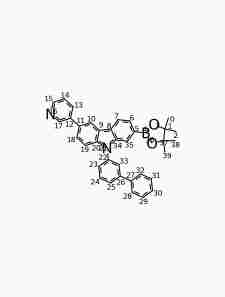 CC1(C)OB(c2ccc3c4cc(-c5cccnc5)ccc4n(-c4cccc(-c5ccccc5)c4)c3c2)OC1(C)C